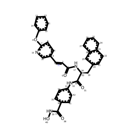 O=C(/C=C/c1ccc(Oc2ccccc2)nc1)N[C@@H](Cc1ccc2ccccc2c1)C(=O)Nc1ccc(C(=O)NO)cc1